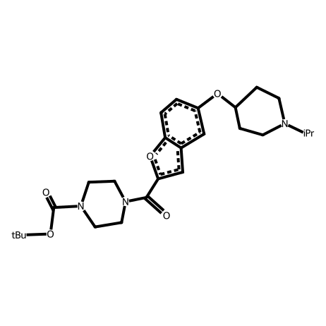 CC(C)N1CCC(Oc2ccc3oc(C(=O)N4CCN(C(=O)OC(C)(C)C)CC4)cc3c2)CC1